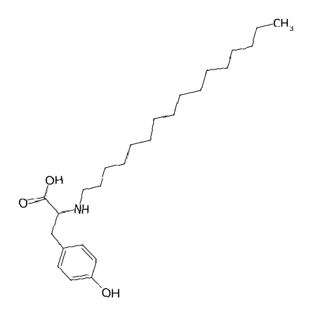 CCCCCCCCCCCCCCCCNC(Cc1ccc(O)cc1)C(=O)O